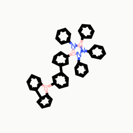 c1ccc(B2N(c3ccccc3)B(c3cccc(-c4cccc(B5c6ccccc6-c6ccccc65)c4)c3)N(c3ccccc3)N2c2ccccc2)cc1